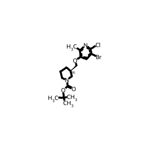 Cc1nc(Cl)c(Br)cc1OC[C@@H]1CCCN(C(=O)OC(C)(C)C)C1